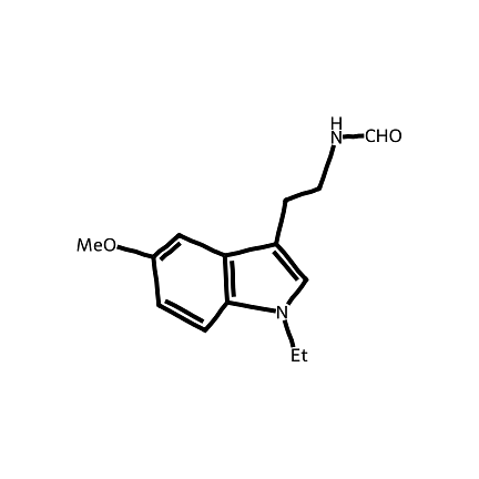 CCn1cc(CCNC=O)c2cc(OC)ccc21